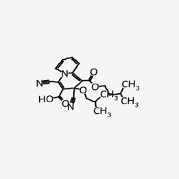 CC(C)CCOC(=O)C1=C2C=CC=CN2C(C#N)=C(C(=O)O)C1(C#N)OCC(C)C